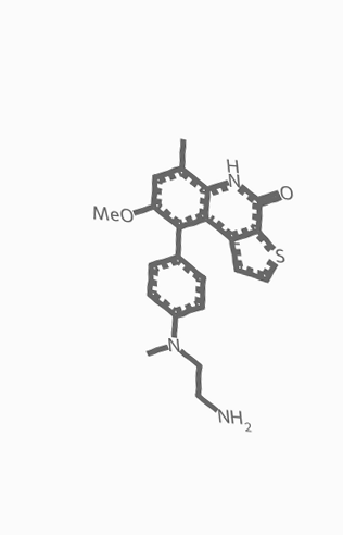 COc1cc(C)c2[nH]c(=O)c3sccc3c2c1-c1ccc(N(C)CCN)cc1